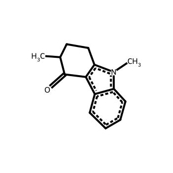 CC1CCc2c(c3ccccc3n2C)C1=O